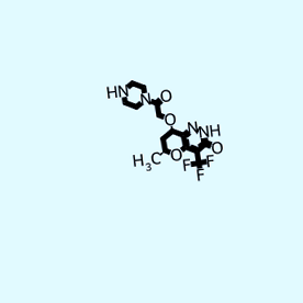 C[C@@H]1C[C@H](OCC(=O)N2CCNCC2)c2n[nH]c(=O)c(C(F)(F)F)c2O1